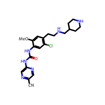 COc1cc(CCNCC2CCNCC2)c(Cl)cc1NC(=O)Nc1cnc(C#N)cn1